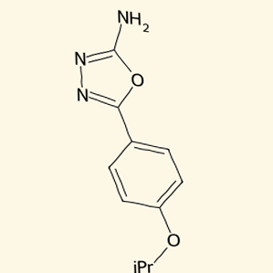 CC(C)Oc1ccc(-c2nnc(N)o2)cc1